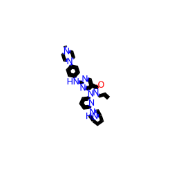 C=CCn1c(=O)c2cnc(Nc3ccc(N4CCN(C)CC4)cc3)nc2n1-c1cccc(N2CC3CCC(C2)N3)n1